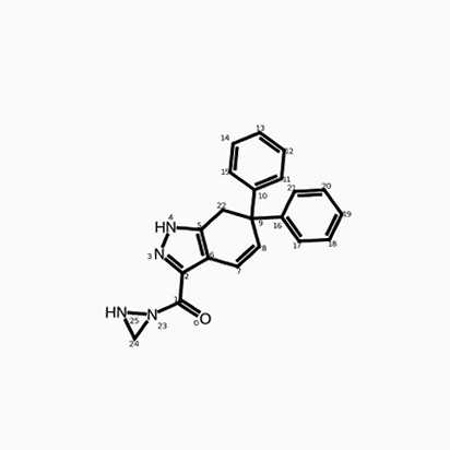 O=C(c1n[nH]c2c1C=CC(c1ccccc1)(c1ccccc1)C2)N1CN1